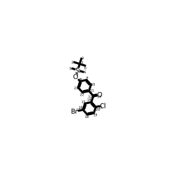 CC(C)(C)[Si](C)(C)Oc1ccc(C(=O)c2cc(Br)ccc2Cl)cc1